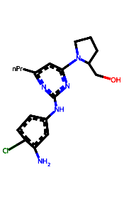 CCCc1cc(N2CCCC2CO)nc(Nc2ccc(Cl)c(N)c2)n1